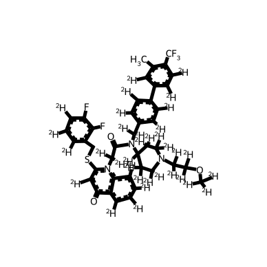 [2H]c1c([2H])c(F)c(F)c(CSc2c([2H])c(=O)c3c([2H])c([2H])c([2H])c([2H])c3n2C([2H])([2H])C(=O)N(C([2H])([2H])c2c([2H])c([2H])c(-c3c([2H])c([2H])c(C(F)(F)F)c(C)c3[2H])c([2H])c2[2H])C2([2H])C([2H])([2H])C([2H])([2H])N(C([2H])([2H])C([2H])([2H])OC([2H])([2H])[2H])C([2H])([2H])C2([2H])[2H])c1[2H]